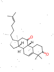 CC(C)=CCC[C@@H](C)[C@H]1CC[C@H]2[C@@H]3CC=C4C(C)(C)C(=O)CC[C@]4(C)[C@H]3C(=O)C[C@]12C